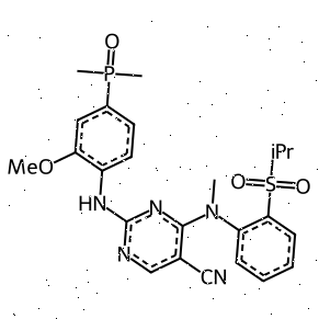 COc1cc(P(C)(C)=O)ccc1Nc1ncc(C#N)c(N(C)c2ccccc2S(=O)(=O)C(C)C)n1